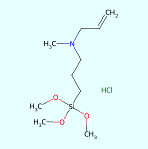 C=CCN(C)CCC[Si](OC)(OC)OC.Cl